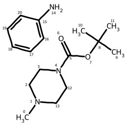 CN1CCN(C(=O)OC(C)(C)C)CC1.Nc1ccccc1